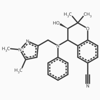 Cc1cc(CN(c2ccccc2)C2c3cc(C#N)ccc3OC(C)(C)[C@@H]2O)nn1C